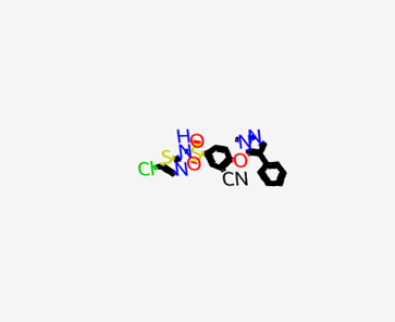 Cn1ncc(-c2ccccc2)c1Oc1ccc(S(=O)(=O)Nc2ncc(Cl)s2)cc1C#N